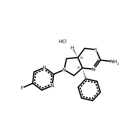 Cl.NC1=N[C@@]2(c3ccccc3)CN(c3ncc(F)cn3)C[C@H]2CS1